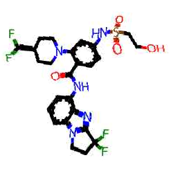 O=C(Nc1cccc2c1nc1n2CCC1(F)F)c1ccc(NS(=O)(=O)CCO)cc1N1CCC(=C(F)F)CC1